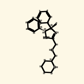 C[C@@]1(C2C=CC=CC2)N=C(COCC2CCCCO2)N[C@@H]1c1ccccc1